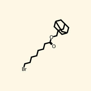 O=C(CCCCCCCBr)OCC12CC3CC(CC(C3)C1)C2